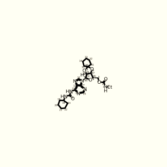 CCNC(=O)OC[C@H]1O[C@@H](n2cnc3c(NC(=O)NC4CCCCC4)ncnc32)[C@H]2OC3(CCCCC3)OC12